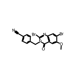 COc1cc2c(=O)n(Cc3ccc(C#N)cc3)c(Br)nc2cc1Br